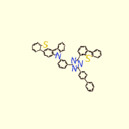 C1=CC2Sc3c(ccc4c3c3ccccc3n4-c3cccc(-c4nc(-c5ccc(-c6ccccc6)cc5)nc(-c5cccc6c5sc5ccccc56)n4)c3)C2C=C1